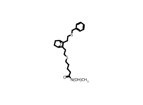 CN(O)C(=O)CCCCSCCC1C2CCC(O2)C1CCSCc1ccccc1